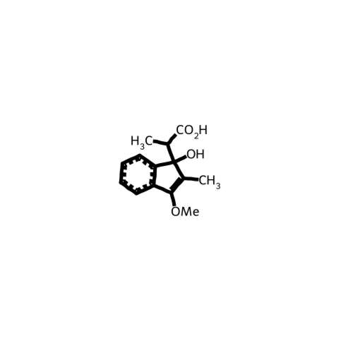 COC1=C(C)C(O)(C(C)C(=O)O)c2ccccc21